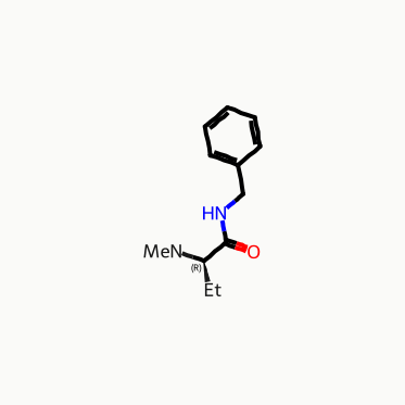 CC[C@@H](NC)C(=O)NCc1ccccc1